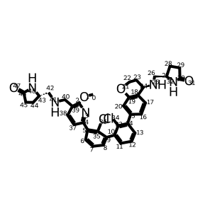 COc1nc(-c2cccc(-c3cccc(-c4ccc5c(c4)OCC[C@H]5NC[C@H]4CCC(=O)N4)c3Cl)c2Cl)ccc1CNC[C@@H]1CCC(=O)N1